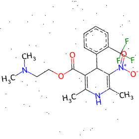 CC1=C(C(=O)OCCN(C)C)C(c2ccccc2C(F)(F)F)C([N+](=O)[O-])=C(C)N1